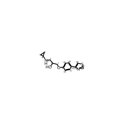 OC(CNC1CC1)COc1ccc(-c2csnn2)cc1